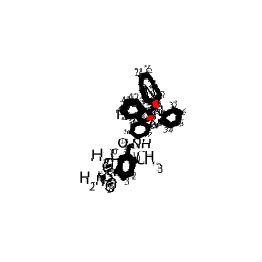 Cc1ccc(S(N)(=O)=O)c(C)c1C(=O)NC1CCC(CCCN2C3CCC2CC(n2c(C)nc4ccccc42)C3)(c2ccccc2)CC1